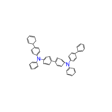 C1=CCC(c2ccc(N(c3ccccc3)c3ccc(-c4ccc(N(c5ccccc5)c5ccc(-c6ccccc6)cc5)cc4)cc3)cc2)C=C1